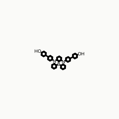 Oc1ccc(-c2ccc(N3c4ccccc4B4c5ccccc5N(c5ccc(-c6ccc(O)cc6)cc5)c5cccc3c54)cc2)cc1